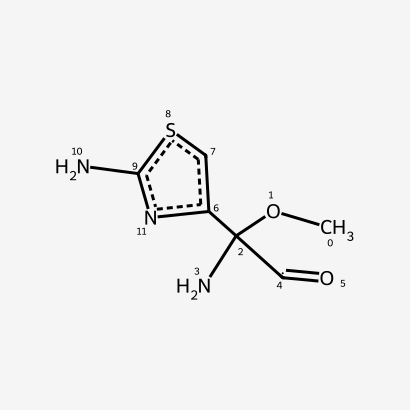 COC(N)([C]=O)c1csc(N)n1